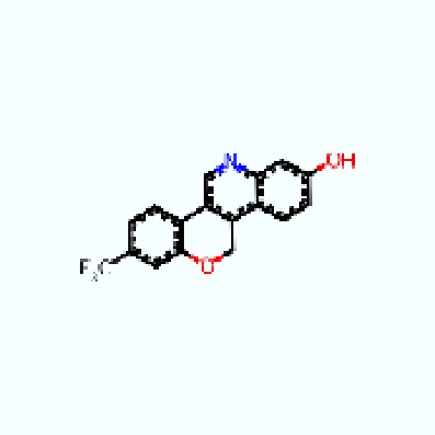 Oc1ccc2c3c(cnc2c1)-c1ccc(C(F)(F)F)cc1OC3